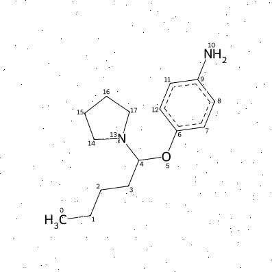 CCCCC(Oc1ccc(N)cc1)N1CCCC1